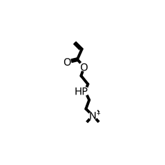 C=CC(=O)OCCPCC[N+](C)(C)C